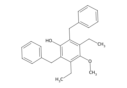 CCc1c(Cc2ccccc2)c(O)c(Cc2ccccc2)c(CC)c1OC